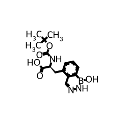 CC(C)(C)OC(=O)N[C@@H](Cc1cccc2c1C=NNB2O)C(=O)O